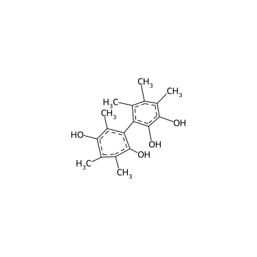 Cc1c(C)c(O)c(O)c(-c2c(C)c(O)c(C)c(C)c2O)c1C